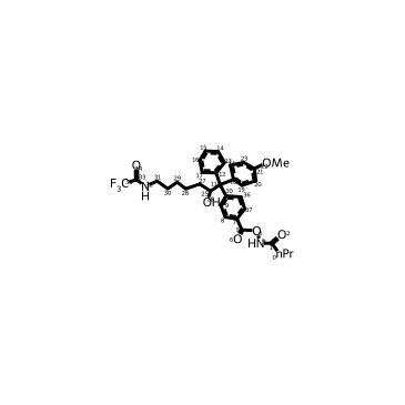 CCCC(=O)NOC(=O)c1ccc(C(c2ccccc2)(c2ccc(OC)cc2)C(O)CCCCCNC(=O)C(F)(F)F)cc1